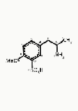 COc1ccc(C[C@@H](C)N)cc1S(=O)(=O)O